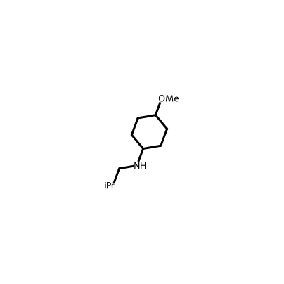 COC1CCC(NCC(C)C)CC1